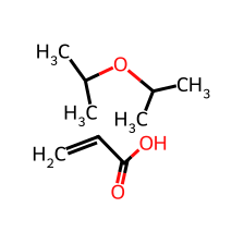 C=CC(=O)O.CC(C)OC(C)C